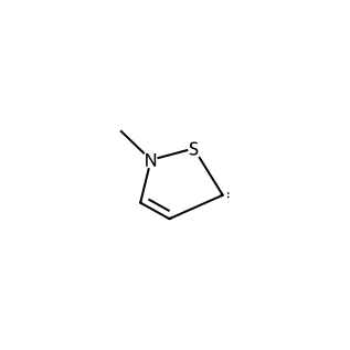 CN1C=C[C]S1